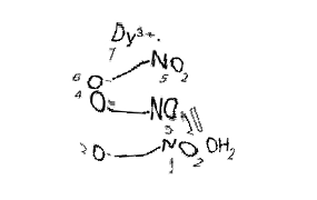 O.O=[N+]([O-])[O-].O=[N+]([O-])[O-].O=[N+]([O-])[O-].[Dy+3]